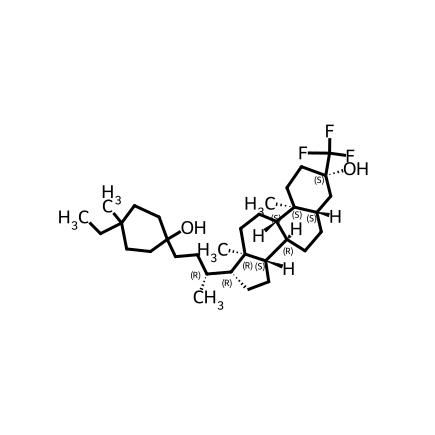 CCC1(C)CCC(O)(CC[C@@H](C)[C@H]2CC[C@H]3[C@@H]4CC[C@H]5C[C@](O)(C(F)(F)F)CC[C@]5(C)[C@H]4CC[C@]23C)CC1